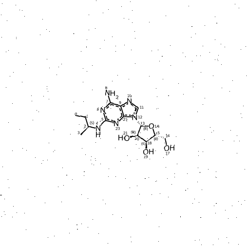 CC[C@H](C)Nc1nc(N)c2ncn([C@@H]3O[C@H](CO)[C@@H](O)[C@H]3O)c2n1